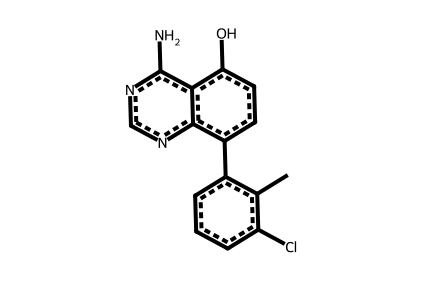 Cc1c(Cl)cccc1-c1ccc(O)c2c(N)ncnc12